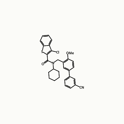 COc1ccc(-c2cccc(C#N)c2)cc1CN(C(=O)c1sc2ccccc2c1Cl)C1CCCCC1